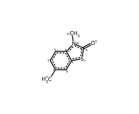 Cc1ccc2c(c1)sc(=O)n2C